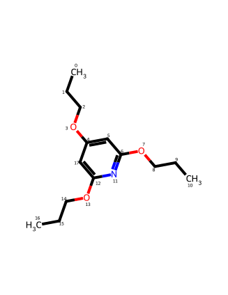 CCCOc1cc(OCCC)nc(OCCC)c1